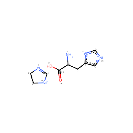 C1=NCCN1.NC(Cc1c[nH]cn1)C(=O)O